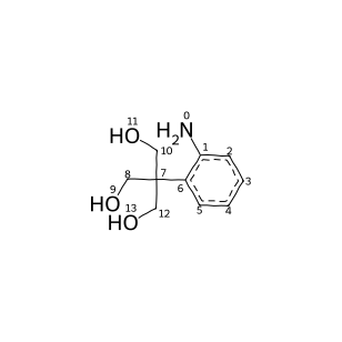 Nc1ccccc1C(CO)(CO)CO